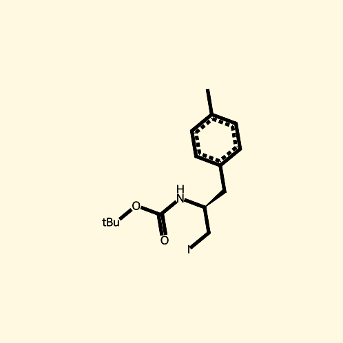 Cc1ccc(C[C@@H](CI)NC(=O)OC(C)(C)C)cc1